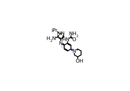 CC(C)n1ncc(/N=C2C=C/C(=[N+]3/CCCC(O)C3)C=C/2NC(N)=O)c1N